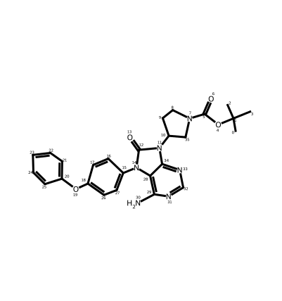 CC(C)(C)OC(=O)N1CCC(n2c(=O)n(-c3ccc(Oc4ccccc4)cc3)c3c(N)ncnc32)C1